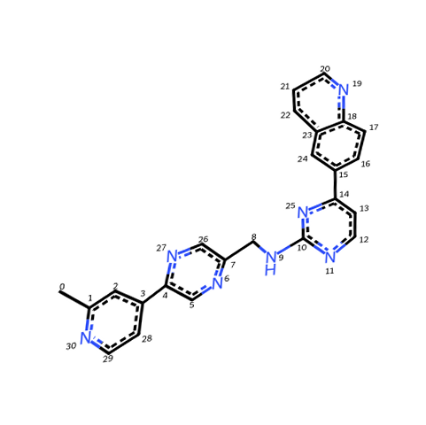 Cc1cc(-c2cnc(CNc3nccc(-c4ccc5ncccc5c4)n3)cn2)ccn1